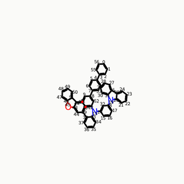 c1ccc(-c2ccc(-c3cccc(N(c4cccc(-n5c6ccccc6c6ccccc65)c4)c4ccccc4-c4ccc5c(c4)oc4ccccc45)c3)cc2)cc1